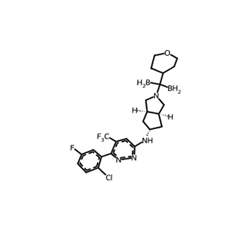 BC(B)(C1CCOCC1)N1C[C@H]2C[C@H](Nc3cc(C(F)(F)F)c(-c4cc(F)ccc4Cl)nn3)C[C@H]2C1